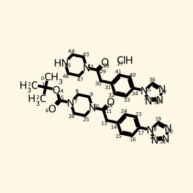 CC(C)(C)OC(=O)N1CCN(C(=O)Cc2ccc(-n3cnnn3)cc2)CC1.Cl.O=C(Cc1ccc(-n2cnnn2)cc1)N1CCNCC1